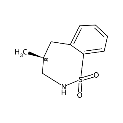 C[C@@H]1CNS(=O)(=O)c2ccccc2C1